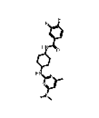 Cc1cc(N(C)C)nc(NC2CCC(NC(=O)c3ccc(F)c(F)c3)CC2)n1